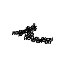 CO[C@H](C(=O)C(C)=O)[C@@H]1Cc2cc3cc(OC(C)OC(C)[C@@H](O)CO[C@H]4CC(O)[C@H](O)C(C)O4)c(C)c(O)c3c(O)c2C(=O)[C@H]1OCOC(C)[C@@H](O)COCOC(C)[C@H](O)CO